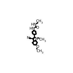 CCNC(=O)Nc1ccc(-c2c(C#N)c3ccc(OCC)cc3n2CC)cc1